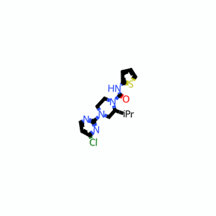 CC(C)C1CN(c2nccc(Cl)n2)CCN1C(=O)Nc1cccs1